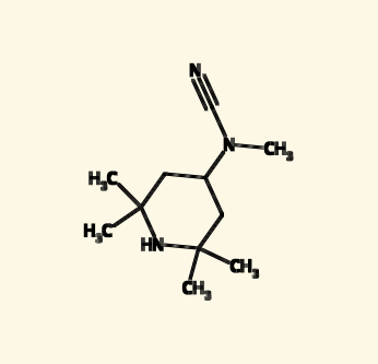 CN(C#N)C1CC(C)(C)NC(C)(C)C1